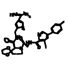 Cc1ccc(-c2cnc(C(=O)NCC(=O)N3CCC4(OCCO4)[C@H]3C(=O)NCc3cc(C(=N)N)cs3)c(C)c2)cc1